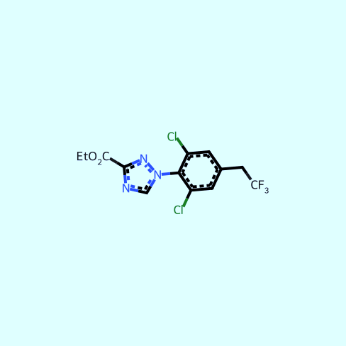 CCOC(=O)c1ncn(-c2c(Cl)cc(CC(F)(F)F)cc2Cl)n1